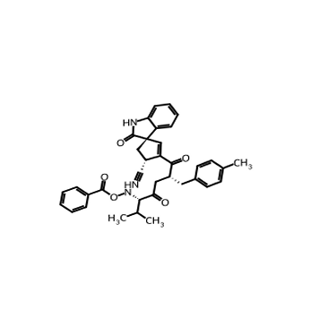 Cc1ccc(C[C@H](CC(=O)[C@@H](NOC(=O)c2ccccc2)C(C)C)C(=O)C2=C[C@]3(C[C@H]2C#N)C(=O)Nc2ccccc23)cc1